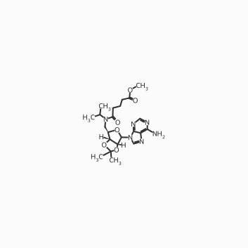 COC(=O)CCCC(=O)N(C[C@H]1OC(n2cnc3c(N)ncnc32)[C@@H]2OC(C)(C)O[C@H]12)C(C)C